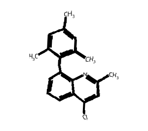 Cc1cc(C)c(-c2cccc3c(Cl)cc(C)nc23)c(C)c1